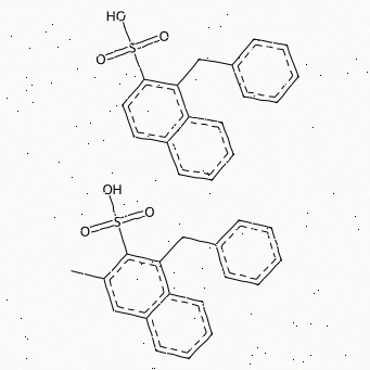 Cc1cc2ccccc2c(Cc2ccccc2)c1S(=O)(=O)O.O=S(=O)(O)c1ccc2ccccc2c1Cc1ccccc1